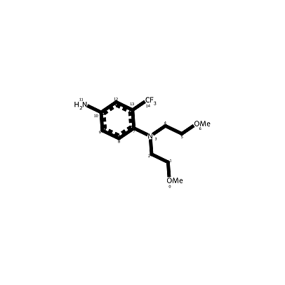 COCCN(CCOC)c1ccc(N)cc1C(F)(F)F